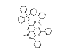 CO[C@H]1O[C@H](COC(c2ccccc2)(c2ccccc2)c2ccccc2)[C@@H](OC(=O)c2ccccc2)[C@H](OC(=O)c2ccccc2)[C@H]1OC(=O)c1ccccc1